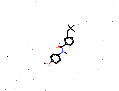 COc1ccc(N(C)C(=O)c2cccc(CC(C)(C)C)c2)cc1